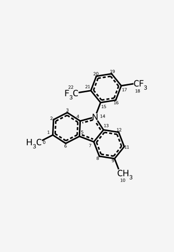 Cc1ccc2c(c1)c1cc(C)ccc1n2-c1cc(C(F)(F)F)ccc1C(F)(F)F